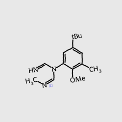 C/N=C\N(C=N)c1cc(C(C)(C)C)cc(C)c1OC